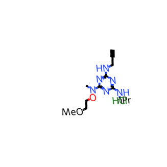 C#CCNc1nc(NCCC)nc(N(C)OCCOC)n1.Cl